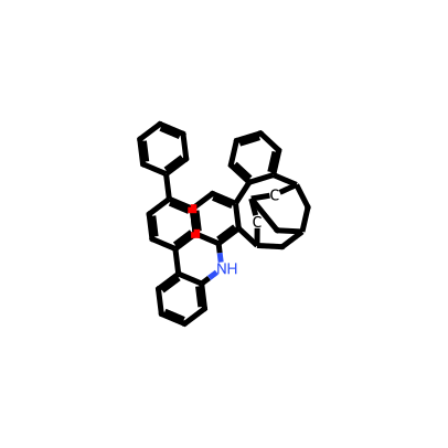 c1ccc(-c2ccc(-c3ccccc3Nc3cccc4c3C3CC5CC(CC(C5)c5ccccc5-4)C3)cc2)cc1